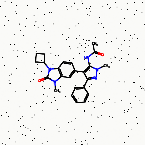 CC(=O)Nc1c(-c2ccc3c(c2)n(C)c(=O)n3C2CCC2)c(-c2ccccc2)nn1C